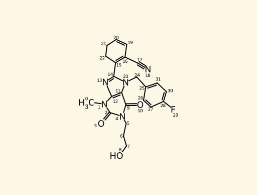 Cn1c(=O)n(CCCO)c(=O)c2c1nc(C1=C(C#N)C=CCC1)n2Cc1ccc(F)cc1